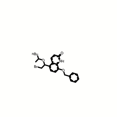 CCCCC(C)OC(CBr)c1ccc(OCc2ccccc2)c2[nH]c(=O)ccc12